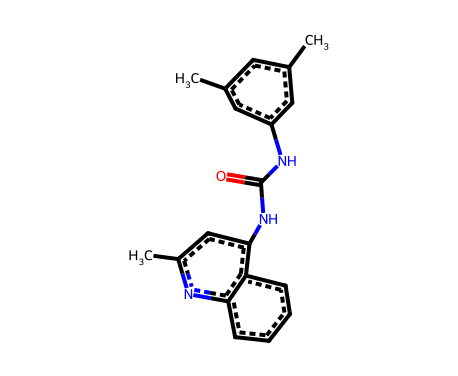 Cc1cc(C)cc(NC(=O)Nc2cc(C)nc3ccccc23)c1